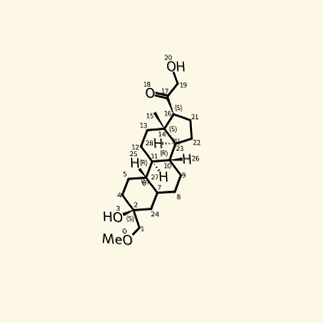 COC[C@]1(O)CC[C@H]2C(CC[C@@H]3[C@@H]2CC[C@]2(C)[C@@H](C(=O)CO)CC[C@@H]32)C1